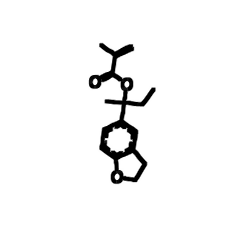 C=C(C)C(=O)OC(C)(CC)c1ccc2c(c1)CCO2